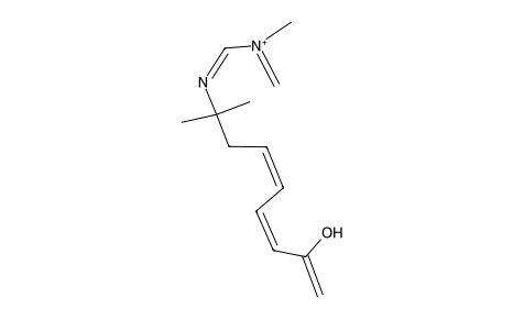 C=C(O)/C=C\C=C/CC(C)(C)/N=C\[N+](=C)C